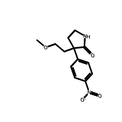 COCCC1(c2ccc([N+](=O)[O-])cc2)CCNC1=O